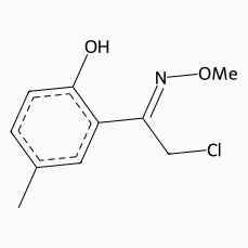 CON=C(CCl)c1cc(C)ccc1O